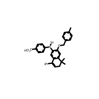 CCN(c1ccc(C(=O)O)cc1)c1cc2c(cc1OCc1ccc(C)cc1)C(C)(C)CC=C2C(C)C